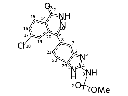 COC(=O)Nc1nc2cc(-c3n[nH]c(=O)c4ccc(Cl)cc34)ccc2[nH]1